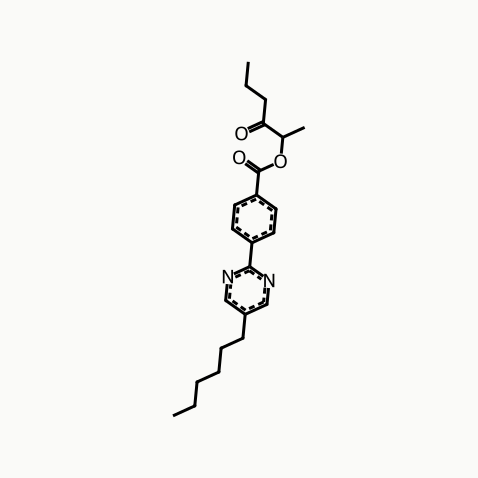 CCCCCCc1cnc(-c2ccc(C(=O)OC(C)C(=O)CCC)cc2)nc1